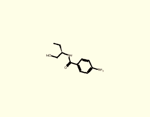 CC[C@H](CO)NC(=O)c1ccc(N)cc1